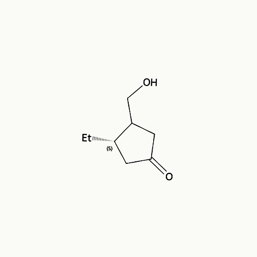 CC[C@H]1CC(=O)CC1CO